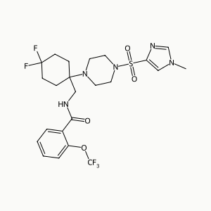 Cn1cnc(S(=O)(=O)N2CCN(C3(CNC(=O)c4ccccc4OC(F)(F)F)CCC(F)(F)CC3)CC2)c1